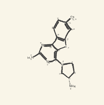 CN[C@H]1CCN(c2nc(N)nc3c2sc2cc(C(F)(F)F)ccc23)C1